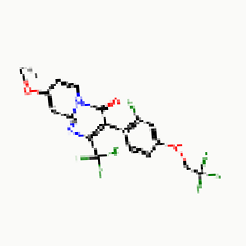 COc1ccn2c(=O)c(-c3ccc(OCC(F)(F)F)cc3F)c(C(F)(F)F)nc2c1